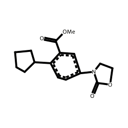 COC(=O)c1cc(N2CCOC2=O)ccc1C1CCCC1